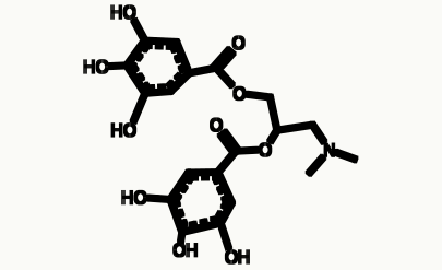 CN(C)CC(COC(=O)c1cc(O)c(O)c(O)c1)OC(=O)c1cc(O)c(O)c(O)c1